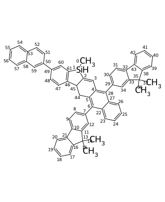 C[SiH]1C2=Cc3c(c(-c4ccc5c(c4)C(C)(C)c4ccccc4-5)c4ccccc4c3-c3ccc4c(c3)C(C)(C)c3ccccc3-4)CC2c2ccc(-c3ccc4ccccc4c3)cc21